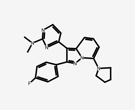 CN(C)c1nccc(-c2c(-c3ccc(F)cc3)nn3c(N4CCCC4)cccc23)n1